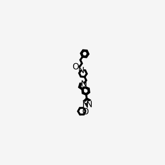 O=C(CCc1ccccc1)N1CCC(Cn2ccc3cc(-c4cnn(C5CCCCO5)c4)ccc32)CC1